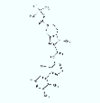 Cc1c(N)cc(F)cc1-c1nccc(NC(=O)c2nc3c(n2C)CCN(C(=O)OC(C)(C)C)C3)c1Cl